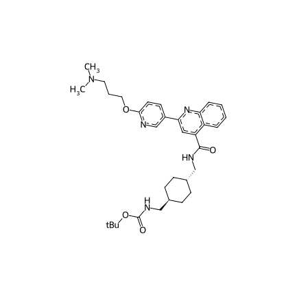 CN(C)CCCOc1ccc(-c2cc(C(=O)NC[C@H]3CC[C@H](CNC(=O)OC(C)(C)C)CC3)c3ccccc3n2)cn1